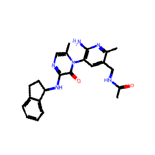 CC(=O)NCc1cc(-n2c(C)cnc(NC3CCc4ccccc43)c2=O)c(N)nc1C